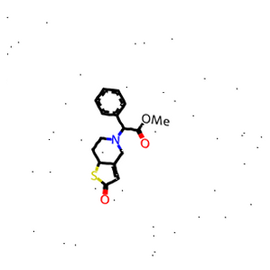 COC(=O)C(c1ccccc1)N1CCC2SC(=O)C=C2C1